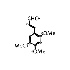 COc1cc(OC)c(OC)cc1C=C[C]=O